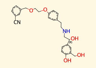 N#Cc1cccc(COCCOc2ccc(CCNC[C@H](O)c3ccc(O)c(CO)c3)cc2)c1